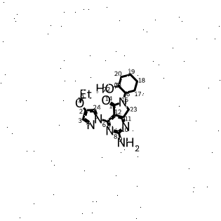 CCOc1cnn(-c2nc(N)nc3c2C(=O)N(C2CCCC[C@@H]2O)C3)c1